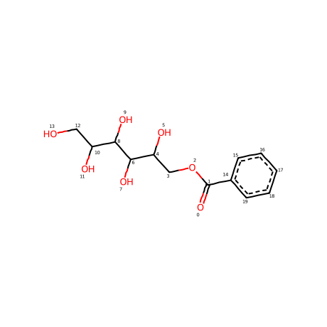 O=C(OCC(O)C(O)C(O)C(O)CO)c1ccccc1